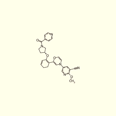 COc1ncc(N2C=COC(C3=C(O[C@H]4CCN(C(=O)c5ccncc5)C4)C=CCC3)=C2)cc1C#N